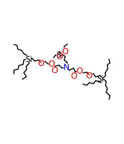 CCCCCC[Si](CCCCCC)(CCCCCC)CCCOCCOC(=O)CCN(CCC[Si](C)(OCC)OCC)CCC(=O)OCCOCCC[Si](CCCCCC)(CCCCCC)CCCCCC